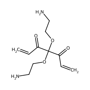 C=CC(=O)C(OCCN)(OCCN)C(=O)C=C